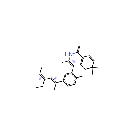 C=C(N/C(C)=C/c1cc(/C(C)=C/C(=C\C)CC)ccc1C)C1=CCC(C)(C)C=C1